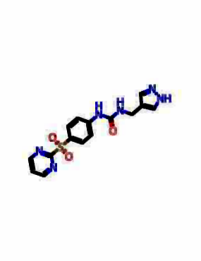 O=C(NCc1cn[nH]c1)Nc1ccc(S(=O)(=O)c2ncccn2)cc1